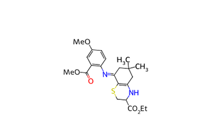 CCOC(=O)C1CSC2=C(CC(C)(C)C/C2=N\c2ccc(OC)cc2C(=O)OC)N1